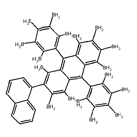 Bc1c(B)c(B)c(-c2c3c(B)c(B)c(B)c(B)c3c(-c3c(B)c(B)c(B)c(B)c3B)c3c(B)c(-c4cccc5ccccc45)c(B)c(B)c23)c(B)c1B